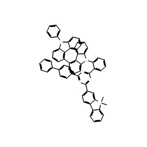 C[Si]1(C)c2ccccc2-c2ccc(-c3nc(-c4ccc(-c5ccccc5)cc4)nc(-c4ccccc4-n4c5ccccc5c5c(-c6cccc7c6c6ccccc6n7-c6ccccc6)cccc54)n3)cc21